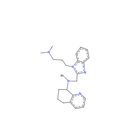 CC(C)N(Cc1nc2ccccc2n1CCCN(C)C)C1CCCc2cccnc21